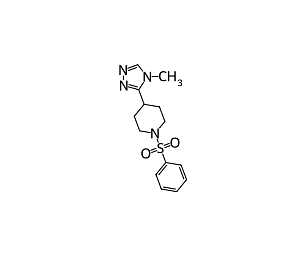 Cn1cnnc1C1CCN(S(=O)(=O)c2ccccc2)CC1